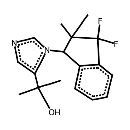 CC(C)(O)c1cncn1C1c2ccccc2C(F)(F)C1(C)C